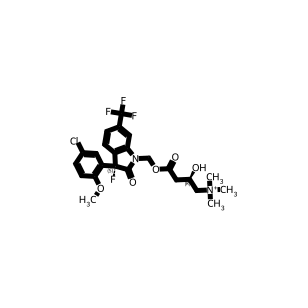 COc1ccc(Cl)cc1[C@]1(F)C(=O)N(COC(=O)C[C@@H](O)C[N+](C)(C)C)c2cc(C(F)(F)F)ccc21